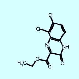 CCOC(=O)c1nc2c(Cl)c(Cl)ccc2[nH]c1=O